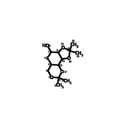 CC1(C)OCC2SC(O)C3OC(C)(C)OC3C2O1